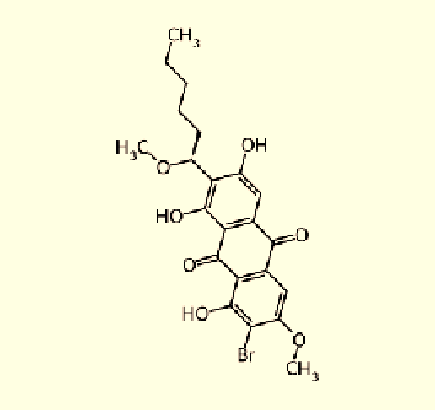 CCCCC[C@H](OC)c1c(O)cc2c(c1O)C(=O)c1c(cc(OC)c(Br)c1O)C2=O